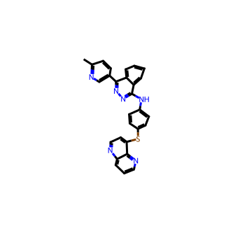 Cc1ccc(-c2nnc(Nc3ccc(Sc4ccnc5cccnc45)cc3)c3ccccc23)cn1